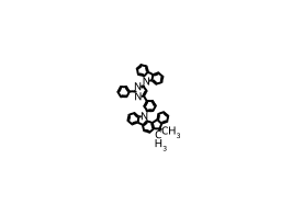 CC1(C)c2ccccc2-c2c1ccc1c3ccccc3n(-c3cccc(-c4cc(-n5c6ccccc6c6ccccc65)nc(-c5ccccc5)n4)c3)c21